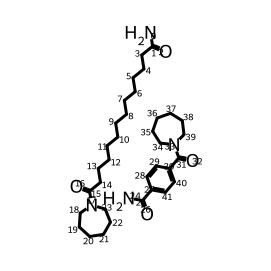 NC(=O)CCCCCCCCCCCCC(=O)N1CCCCCC1.NC(=O)c1ccc(C(=O)N2CCCCCC2)cc1